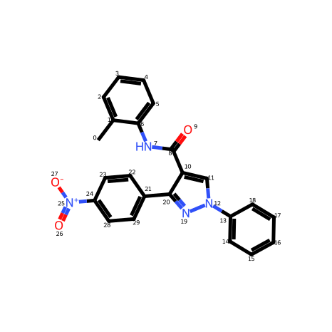 Cc1ccccc1NC(=O)c1cn(-c2ccccc2)nc1-c1ccc([N+](=O)[O-])cc1